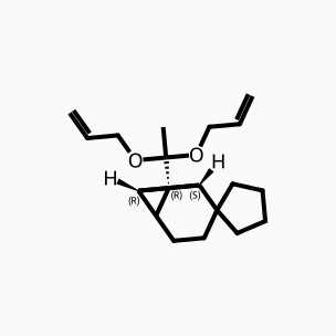 C=CCOC(C)(OCC=C)[C@@]12C3CCC4(CCCC4)[C@@H]1[C@@H]32